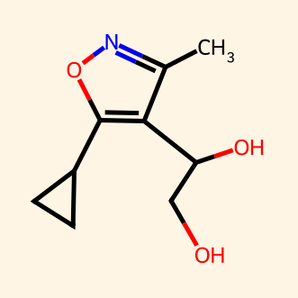 Cc1noc(C2CC2)c1C(O)CO